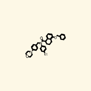 CCc1ccc(N(Cc2ccc(N3CCOCC3)cc2)C(=O)C2CCCc3c(OCc4ccccc4)cccc32)cc1